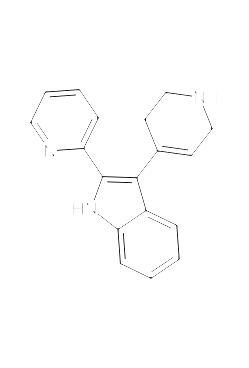 C1=C(c2c(-c3ccccn3)[nH]c3ccccc23)CCNC1